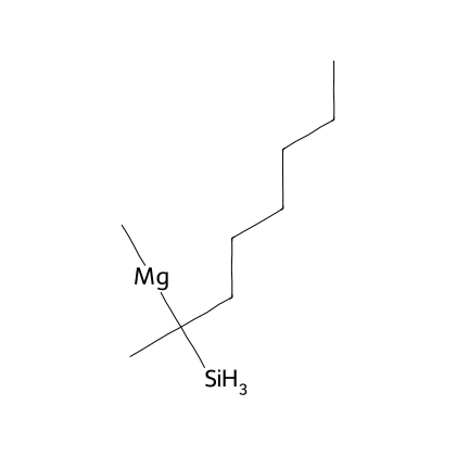 CCCCCC[C](C)([SiH3])[Mg][CH3]